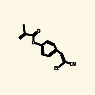 C=C(C)C(=O)Oc1ccc(/C=C(/C#N)CC)cc1